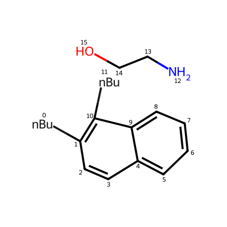 CCCCc1ccc2ccccc2c1CCCC.NCCO